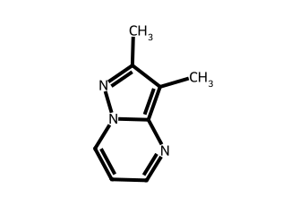 Cc1nn2cccnc2c1C